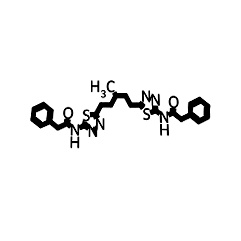 CC(CCc1nnc(NC(=O)Cc2ccccc2)s1)CCc1nnc(NC(=O)Cc2ccccc2)s1